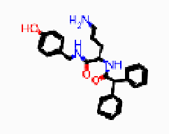 NCCC[C@@H](NC(=O)C(c1ccccc1)c1ccccc1)C(=O)NCc1ccc(O)cc1